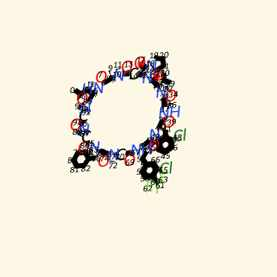 CC[C@H](C)[C@@H]1NC(=O)[C@H](C)N(C)C(=O)C[C@@H](C(=O)N2CCCC2)N(C)C(=O)[C@H](C(C)C)N(C)C(=O)[C@H](C)NC(=O)[C@H](Cc2ccccc2Cl)N(C)C(=O)[C@H](CCc2ccc(C(F)(F)F)c(Cl)c2)NC(=O)CN(C)C(=O)[C@H](CC2CCCCC2)N(C)C(=O)CN(C)C(=O)CN(C)C1=O